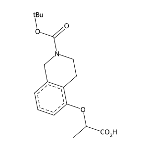 CC(Oc1cccc2c1CCN(C(=O)OC(C)(C)C)C2)C(=O)O